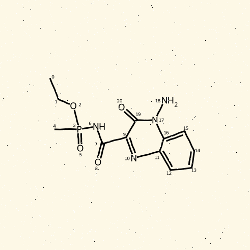 CCOP(C)(=O)NC(=O)c1nc2ccccc2n(N)c1=O